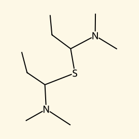 CCC(SC(CC)N(C)C)N(C)C